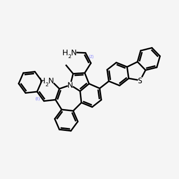 Cc1c(/C=C\N)c2c(-c3ccc4c(c3)sc3ccccc34)ccc3c2n1C(N)=C(/C=C1/C=CC=CC1)c1ccccc1-3